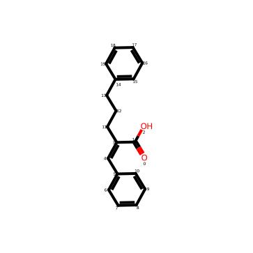 O=C(O)C(=Cc1ccccc1)CCCc1ccccc1